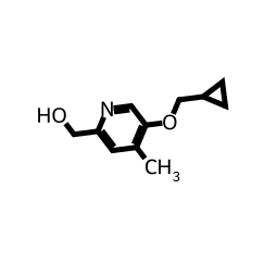 Cc1cc(CO)ncc1OCC1CC1